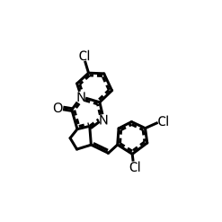 O=c1c2c(nc3ccc(Cl)cn13)/C(=C\c1ccc(Cl)cc1Cl)CC2